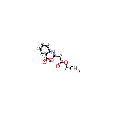 CCOC(=O)Cc1nc2ccccc2c(=O)o1